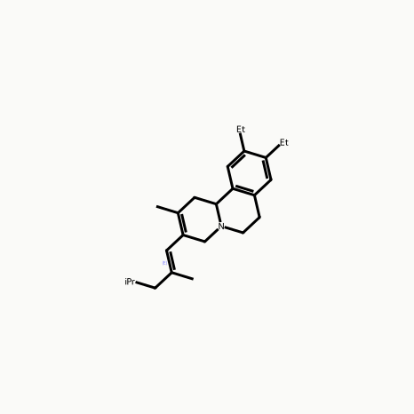 CCc1cc2c(cc1CC)C1CC(C)=C(/C=C(\C)CC(C)C)CN1CC2